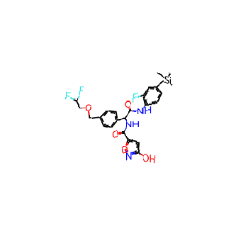 C[Si](C)(C)c1ccc(NC(=O)C(NC(=O)c2cc(O)no2)c2ccc(COCC(F)F)cc2)c(F)c1